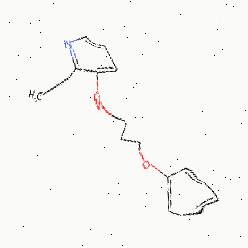 Cc1ncccc1OCCCOc1ccccc1